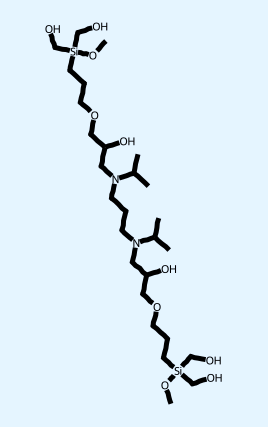 CO[Si](CO)(CO)CCCOCC(O)CN(CCCN(CC(O)COCCC[Si](CO)(CO)OC)C(C)C)C(C)C